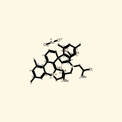 CCCCC(CC)CP(CC(CC)CCCC)C(=CC1(c2c(C)cc(C)cc2C)C=CC=C(c2c(C)cc(C)cc2C)C1=C1NCCN1)C(CC)CCCC.[Cl][Ru][Cl]